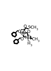 CSCC(=O)[C@H](COCc1ccccc1)NC(=O)[C@H](CC(C)C)NC(=O)OCc1ccccc1